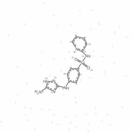 Nc1nc(Nc2ccc(S(=O)(=O)Nc3ccccn3)cc2)n[nH]1